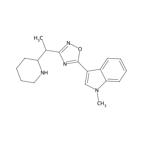 CC(c1noc(-c2cn(C)c3ccccc23)n1)C1CCCCN1